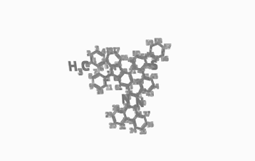 Cc1ccccc1-c1ccccc1C1C2=C(C=CCC2)c2ccc(-c3nc4c5ccccc5c5ccccc5c4nc3-c3cccc(-c4cccc5c6c(sc45)C=CCC6)c3)cc21